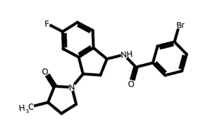 CC1CCN(C2CC(NC(=O)c3cccc(Br)c3)c3ccc(F)cc32)C1=O